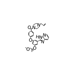 C=CCN1CCN(C(=O)c2ccc(Oc3cc(O[C@@H](C)COC)cc(-c4nc5cccnc5[nH]4)c3)cc2)CC1